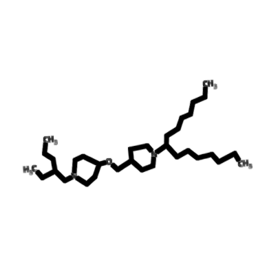 CCCCCCCC(CCCCCCC)N1CCC(COC2CCN(CC(CC)CCC)CC2)CC1